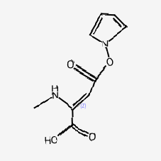 CN/C(=C\C(=O)On1cccc1)C(=O)O